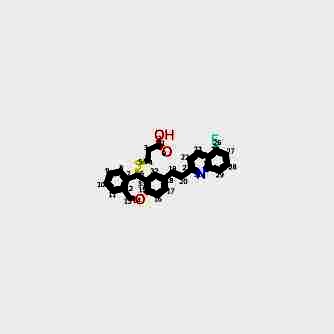 O=C(O)CCSC1c2ccccc2COc2ccc(C=Cc3ccc4c(F)cccc4n3)cc21